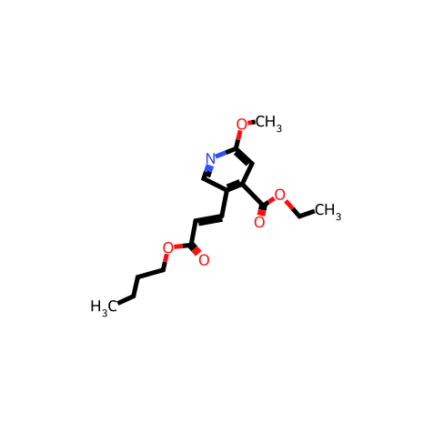 CCCCOC(=O)C=Cc1cnc(OC)cc1C(=O)OCC